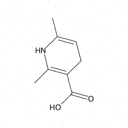 CC1=CCC(C(=O)O)=C(C)N1